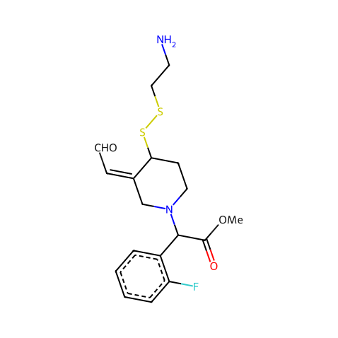 COC(=O)C(c1ccccc1F)N1CCC(SSCCN)/C(=C\C=O)C1